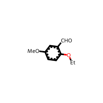 CCOc1ccc(OC)cc1C=O